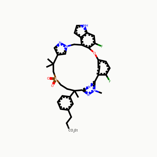 CCOC(=O)CCc1cccc(C2(C)CCS(=O)(=O)CC(C)(C)c3cnn(c3)Cc3c(c(F)cc4[nH]ccc34)Oc3ccc(F)c(c3)-c3nc2nn3C)c1